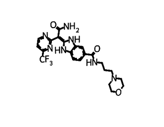 NC(=O)/C(=C1/Nc2ccc(C(=O)NCCCN3CCOCC3)cc2N1)c1nccc(C(F)(F)F)n1